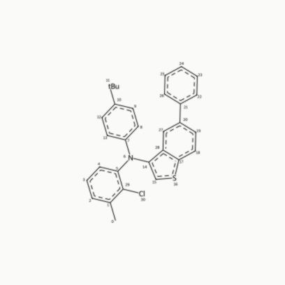 Cc1cccc(N(c2ccc(C(C)(C)C)cc2)c2csc3ccc(-c4ccccc4)cc23)c1Cl